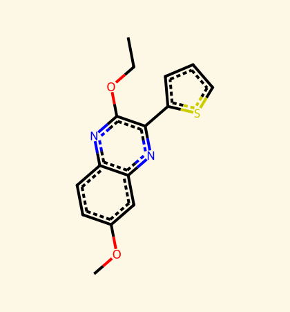 CCOc1nc2ccc(OC)cc2nc1-c1cccs1